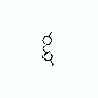 CCc1cnc(CN2CCC(C)CC2)nc1